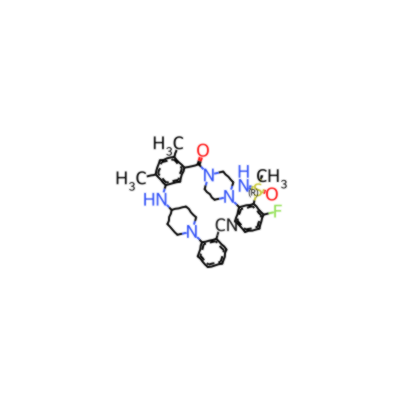 Cc1cc(C)c(C(=O)N2CCN(c3cccc(F)c3[S@](C)(=N)=O)CC2)cc1NC1CCN(c2ccccc2C#N)CC1